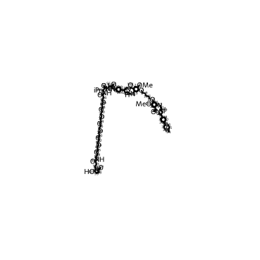 COc1cc2c(cc1OCCCCCOc1cc3c(cc1OC)C(=O)N1C=C(c4ccc(N5CCN(C)CC5)cc4)C[C@H]1C=N3)N=C[C@@H]1CC(c3ccc(NC(=O)[C@H](C)NC(=O)[C@@H](NC(=O)CCOCCOCCOCCOCCOCCOCCOCCOCCNC(=O)CCN4C(=O)C=CC4O)C(C)C)cc3)=CN1C2=O